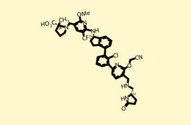 COc1nc(N[C@H]2CCc3c(-c4cccc(-c5ccc(CNC[C@@H]6CCC(=O)N6)c(OCC#N)n5)c4Cl)cccc32)c(C(F)(F)F)cc1CN1CCC[C@]1(C)C(=O)O